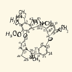 CNCc1c2c3c(c(OC)c1OC)Oc1ccc4c(c1)[C@H](Cc1ccc(cc1)Oc1cc(ccc1OC)C[C@@H]3N(C)CC2)N(C)CC4